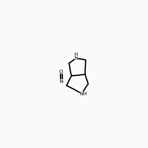 C1NCC2CNCC12.[N]=O